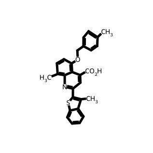 Cc1ccc(COc2ccc(C)c3nc(-c4sc5ccccc5c4C)cc(C(=O)O)c23)cc1